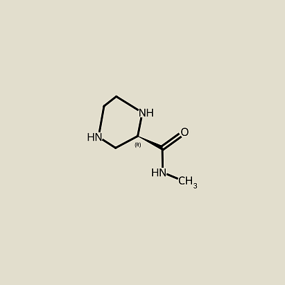 CNC(=O)[C@H]1CNCCN1